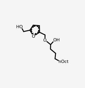 CCCCCCCCCCCC(O)OCc1ccc(CO)o1